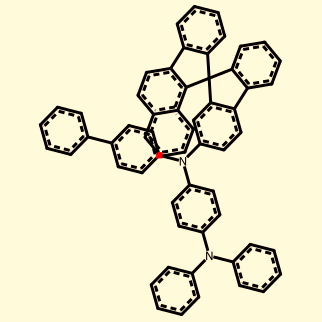 c1ccc(-c2ccc(N(c3ccc(N(c4ccccc4)c4ccccc4)cc3)c3ccc4c(c3)C3(c5ccccc5-4)c4ccccc4-c4ccc5ccccc5c43)cc2)cc1